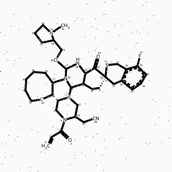 C=CC(=O)N1CCN(C2C3CC[C@]4(Cc5cccc(F)c5CS4)C(=O)C3NC(OCC3CCCN3C)N2C2CCCCCCC2)CC1CC#N